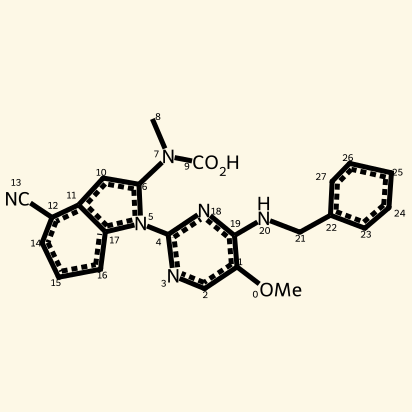 COc1cnc(-n2c(N(C)C(=O)O)cc3c(C#N)cccc32)nc1NCc1ccccc1